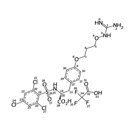 N=C(N)NOCCCOc1ccc(C[C@H](NS(=O)(=O)c2c(Cl)cc(Cl)cc2Cl)C(=O)O)cc1.O=C(O)C(F)(F)F